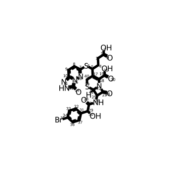 O=C(O)CCC(Sc1ccc2n[nH]c(=O)n2n1)C1=C(C(=O)O)N2C(=O)C(NC(=O)C(O)c3ccc(Br)cc3)[C@@H]2SC1